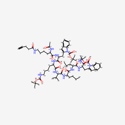 C#CCCC(=O)NCCCCC(NC(C)=O)C(=O)NC(Cc1cc2ccccc2n1C(=O)OC(C)(C)C)C(=O)NC(CCCCNC(=O)OC(C)(C)C)C(=O)NC(C(=O)NC(CCCC)C(=O)NC(CC(C)C)C(=O)NC(Cc1cc2ccccc2n1C(=O)OC(C)(C)C)C(=O)NC)C(C)C